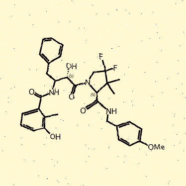 COc1ccc(CNC(=O)[C@H]2N(C(=O)[C@@H](O)C(Cc3ccccc3)NC(=O)c3cccc(O)c3C)CC(F)(F)C2(C)C)cc1